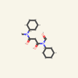 CN(C(=O)CC(=O)N(C=O)C1CCCCC1)C1CCCCC1